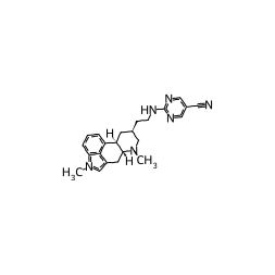 CN1C[C@H](CCNc2ncc(C#N)cn2)C[C@@H]2c3cccc4c3c(cn4C)C[C@H]21